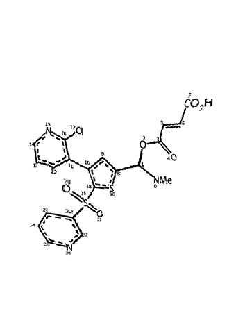 CNC(OC(=O)/C=C/C(=O)O)c1cc(-c2cccnc2Cl)c(S(=O)(=O)c2cccnc2)s1